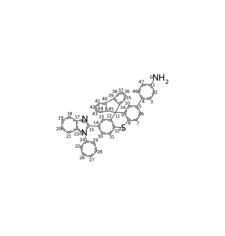 Nc1ccc(-c2ccc3c(c2)C2(c4cc(-c5nc6ccccc6n5-c5ccccc5)ccc4S3)c3ccccc3-c3ccccc32)cc1